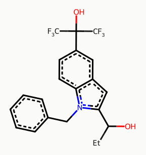 CCC(O)c1cc2cc(C(O)(C(F)(F)F)C(F)(F)F)ccc2n1Cc1ccccc1